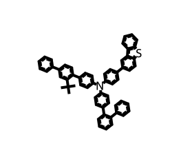 CC(C)(C)c1cc(-c2ccccc2)ccc1-c1ccc(N(c2ccc(-c3ccc4sc5ccccc5c4c3)cc2)c2ccc(-c3ccccc3-c3ccccc3)cc2)cc1